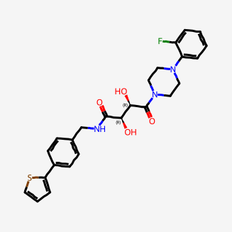 O=C(NCc1ccc(-c2cccs2)cc1)[C@H](O)[C@@H](O)C(=O)N1CCN(c2ccccc2F)CC1